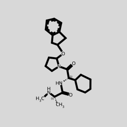 CN[C@@H](C)C(=O)N[C@H](C(=O)N1CCCC1OC1Cc2ccccc2C1)C1CCCCC1